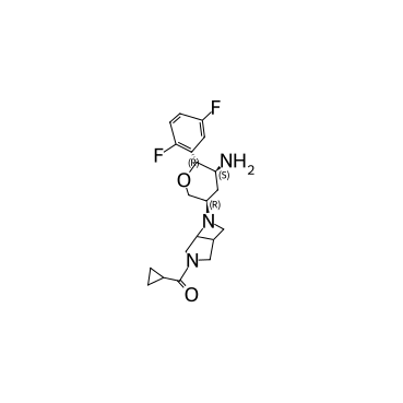 N[C@H]1C[C@@H](N2CC3CN(C(=O)C4CC4)CC32)CO[C@@H]1c1cc(F)ccc1F